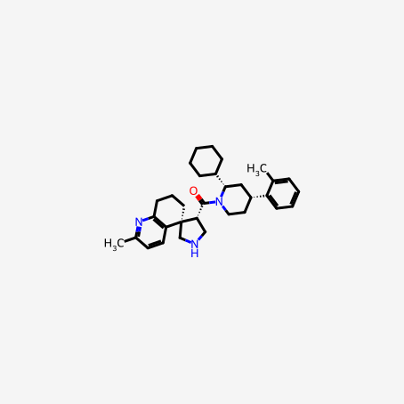 Cc1ccc2c(n1)CCC[C@]21CNC[C@H]1C(=O)N1CC[C@@H](c2ccccc2C)C[C@H]1C1CCCCC1